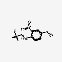 [O]Cc1ccc(NCC(F)(F)F)c([N+](=O)[O-])c1